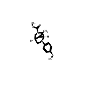 CC(C)(C)OC(=O)N1C[C@@H]2CN(c3ccc(SC#N)cc3)[C@H](C1)C(C)(C)C2